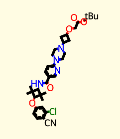 CC(C)(C)OC(=O)COC1CC(N2CCN(c3ccc(C(=O)N[C@H]4C(C)(C)[C@H](Oc5ccc(C#N)c(Cl)c5)C4(C)C)cn3)CC2)C1